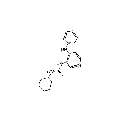 S=C(Nc1cnccc1Nc1ccccc1)NC1CCCCC1